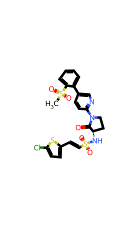 CS(=O)(=O)c1ccccc1-c1ccc(N2CC[C@H](NS(=O)(=O)C=Cc3ccc(Cl)s3)C2=O)nc1